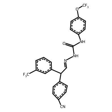 N#Cc1ccc(C(C=NNC(=O)Nc2ccc(OC(F)(F)F)cc2)c2cccc(C(F)(F)F)c2)cc1